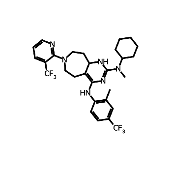 Cc1cc(C(F)(F)F)ccc1NC1=C2CCN(c3ncccc3C(F)(F)F)CCC2NC(N(C)C2CCCCC2)=N1